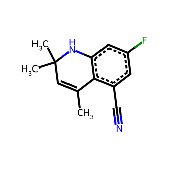 CC1=CC(C)(C)Nc2cc(F)cc(C#N)c21